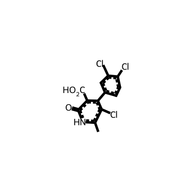 Cc1[nH]c(=O)c(C(=O)O)c(-c2ccc(Cl)c(Cl)c2)c1Cl